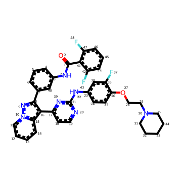 O=C(Nc1cccc(-c2nn3ccccc3c2-c2ccnc(Nc3ccc(OCCN4CCCCC4)c(F)c3)n2)c1)c1c(F)cccc1F